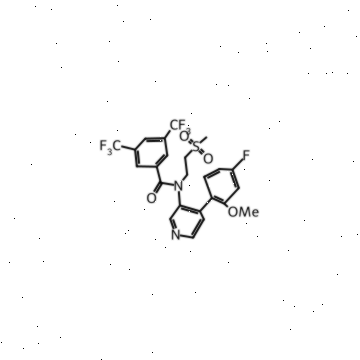 COc1cc(F)ccc1-c1ccncc1N(CCS(C)(=O)=O)C(=O)c1cc(C(F)(F)F)cc(C(F)(F)F)c1